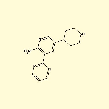 Nc1ncc(C2CCNCC2)cc1-c1ncccn1